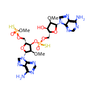 CO[C@@H]1[C@H](O)[C@@H](COP(=O)(S)O[C@H]2[C@@H](OC)[C@H](n3cnc4c(N)ncnc43)O[C@@H]2COP(=O)(S)OC)O[C@H]1n1cnc2c(N)ncnc21